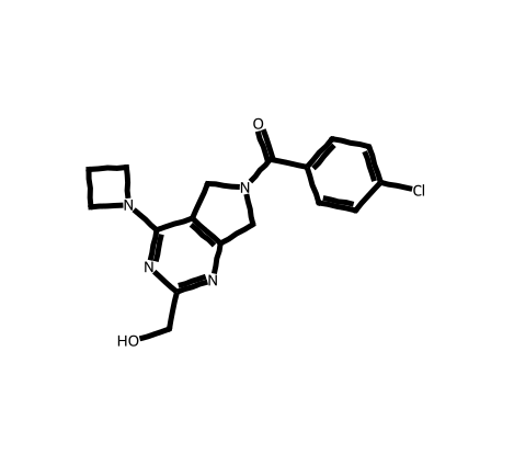 O=C(c1ccc(Cl)cc1)N1Cc2nc(CO)nc(N3CCC3)c2C1